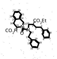 CCOC(=O)[C@@H](CCc1ccccc1)CN(CCc1ccccc1)C(=O)N1Cc2ccccc2C[C@H]1C(=O)O